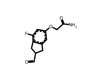 NC(=O)COc1cc(F)c2c(c1)CC(C=O)C2